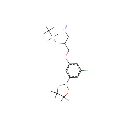 CNCC(COc1cc(Cl)cc(B2OC(C)(C)C(C)(C)O2)c1)O[Si](C)(C)C(C)(C)C